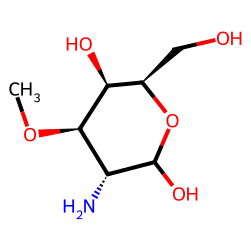 CO[C@H]1[C@@H](O)[C@@H](CO)OC(O)[C@@H]1N